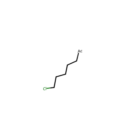 CC(=O)CCCCCCl